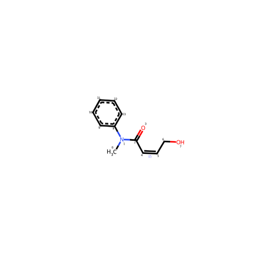 CN(C(=O)/C=C\CO)c1ccccc1